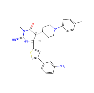 Cc1ccc(N2CCC([C@H]3C(=O)N(C)C(=N)N[C@]3(C)c3cc(-c4cccc(N)c4)cs3)CC2)cc1